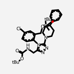 CC(C)(C)OC(=O)NCc1nnc(N2CCC(c3ccccc3)CC2)n1-c1ccc(Cl)cc1CO[Si](C)(C)C(C)(C)C